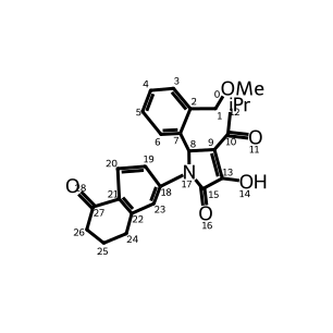 COCc1ccccc1C1C(C(=O)C(C)C)=C(O)C(=O)N1c1ccc2c(c1)CCCC2=O